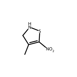 CC1=C([N+](=O)[O-])SNC1